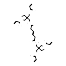 C=CC(=O)OCC(CC)(COC(=O)C=C)COC(=O)C/C=C/CC(=O)OCC(CC)(COC(=O)C=C)COC(=O)C=C